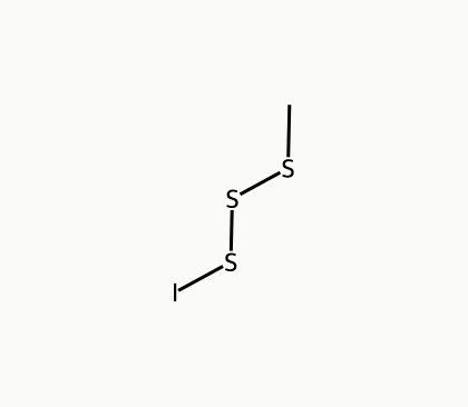 CSSSI